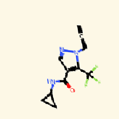 C=C=Cn1ncc(C(=O)NC2CC2)c1C(F)(F)F